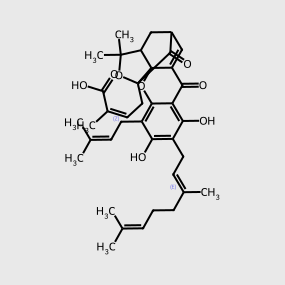 CC(C)=CCC/C(C)=C/Cc1c(O)c(CC=C(C)C)c2c(c1O)C(=O)C1=CC3CC4C(C)(C)OC(C/C=C(/C)C(=O)O)(C3=O)C14O2